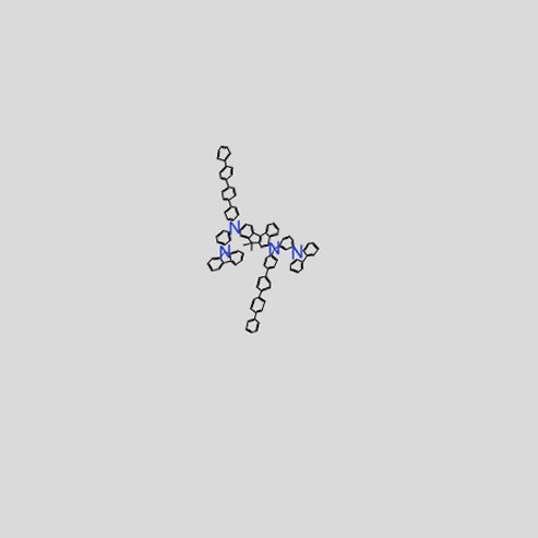 CC1(C)c2cc(N(c3ccc(-c4ccc(-c5ccc(-c6ccccc6)cc5)cc4)cc3)c3cccc(-n4c5ccccc5c5ccccc54)c3)ccc2-c2c1cc(N(c1ccc(-c3ccc(-c4ccc(-c5ccccc5)cc4)cc3)cc1)c1cccc(-n3c4ccccc4c4ccccc43)c1)c1ccccc21